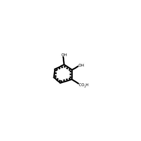 O=C(O)c1c[c]cc(O)c1O